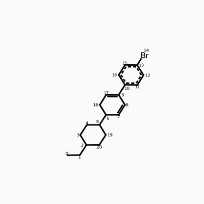 CCC1CCC(C2C=CC(c3ccc(Br)cc3)=CC2)CC1